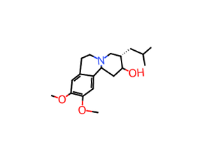 COc1cc2c(cc1OC)C1CC(O)[C@@H](CC(C)C)CN1CC2